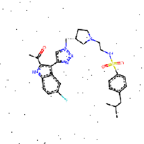 CC(=O)c1[nH]c2ccc(F)cc2c1-c1cn(C[C@@H]2CCN(CCNS(=O)(=O)c3ccc(CC(C)C)cc3)C2)nn1